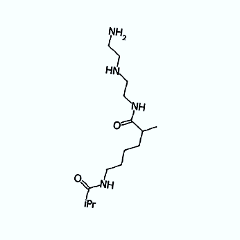 CC(C)C(=O)NCCCCC(C)C(=O)NCCNCCN